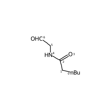 CCCCCC(=O)NCC=O